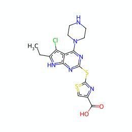 CCc1[nH]c2nc(Sc3nc(C(=O)O)cs3)nc(N3CCNCC3)c2c1Cl